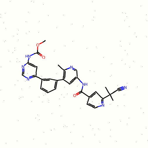 COC(=O)Nc1cc(-c2cccc(-c3cc(NC(=O)c4ccnc(C(C)(C)C#N)c4)cnc3C)c2)ncn1